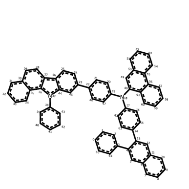 c1ccc(-c2cc3ccccc3cc2-c2ccc(N(c3ccc(-c4ccc5c6ccc7ccccc7c6n(-c6ccccc6)c5c4)cc3)c3cc4ccccc4c4ccccc34)cc2)cc1